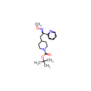 CO/N=C(\CC1CCN(C(=O)OC(C)(C)C)CC1)c1ccccn1